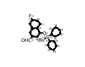 CC(C)(C)[Si](Oc1cc(C=O)cc2cc(F)ccc12)(c1ccccc1)c1ccccc1